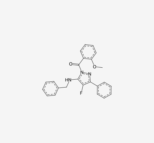 COc1ccccc1C(=O)n1nc(-c2ccccc2)c(F)c1NCc1ccccc1